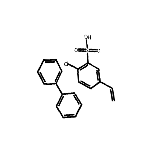 C=Cc1ccc(Cl)c(S(=O)(=O)O)c1.c1ccc(-c2ccccc2)cc1